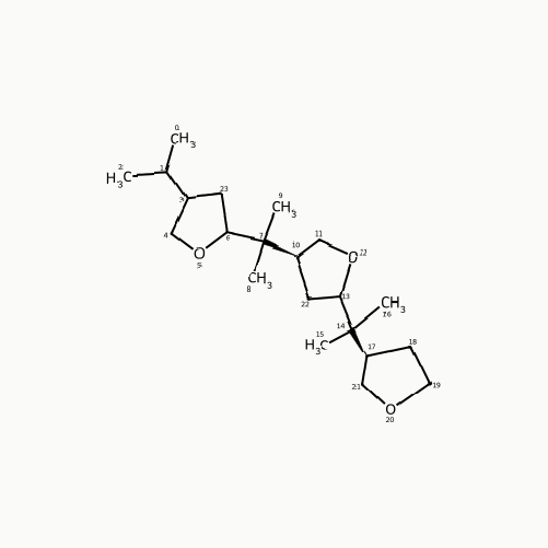 CC(C)C1COC(C(C)(C)[C@H]2COC(C(C)(C)[C@H]3CCOC3)C2)C1